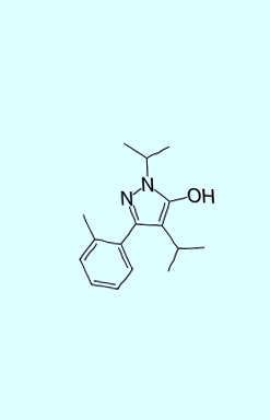 Cc1ccccc1-c1nn(C(C)C)c(O)c1C(C)C